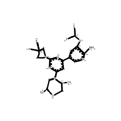 CC[C@H]1CN(c2cc(-c3cnc(N)c(OC(F)F)c3)nc(N3CC(F)(F)C3)n2)[C@@H](C)CO1